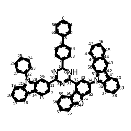 c1ccc(-c2ccc(C3N=C(c4ccc5c6ccccc6n(-c6ccccc6)c5c4)N=C(c4cc(-n5c6ccccc6c6cc7ccccc7cc65)cc5oc6ccccc6c45)N3)cc2)cc1